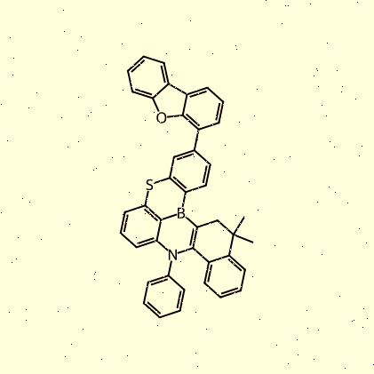 CC1(C)CC2=C(c3ccccc31)N(c1ccccc1)c1cccc3c1B2c1ccc(-c2cccc4c2oc2ccccc24)cc1S3